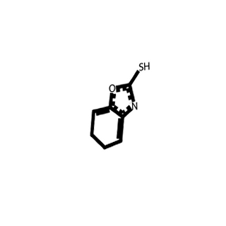 Sc1nc2c(o1)=CCCC=2